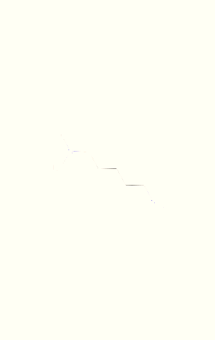 CCN(C)SCCCCN